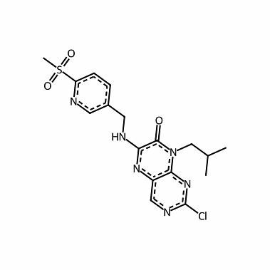 CC(C)Cn1c(=O)c(NCc2ccc(S(C)(=O)=O)nc2)nc2cnc(Cl)nc21